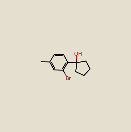 Cc1ccc(C2(O)CCCC2)c(Br)c1